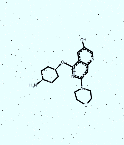 N[C@H]1CC[C@@H](Oc2nc(N3CCOCC3)cc3ncc(O)cc23)CC1